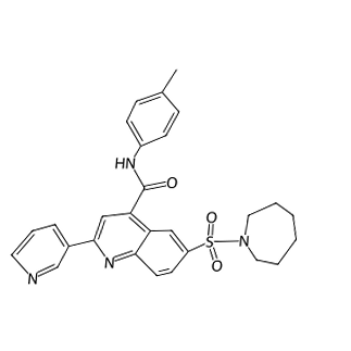 Cc1ccc(NC(=O)c2cc(-c3cccnc3)nc3ccc(S(=O)(=O)N4CCCCCC4)cc23)cc1